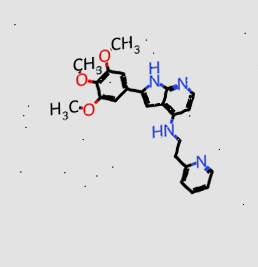 COc1cc(-c2cc3c(NCCc4ccccn4)ccnc3[nH]2)cc(OC)c1OC